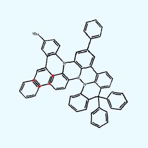 CC(C)(C)c1ccc(N2c3cc(-c4ccccc4)ccc3B3c4c(cc(-c5ccccc5)cc42)-c2cccc4c2N3c2ccccc2C4(c2ccccc2)c2ccccc2)c(-c2ccccc2)c1